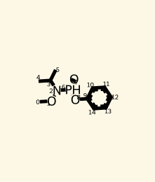 CON(C(C)C)[PH](=O)Oc1ccccc1